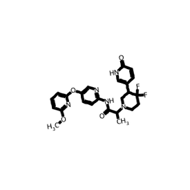 COc1cccc(Oc2ccc(NC(=O)C(C)N3CCC(F)(F)C(c4ccc(=O)[nH]c4)C3)nc2)n1